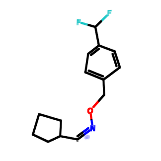 FC(F)c1ccc(CO/N=[C]\C2CCCC2)cc1